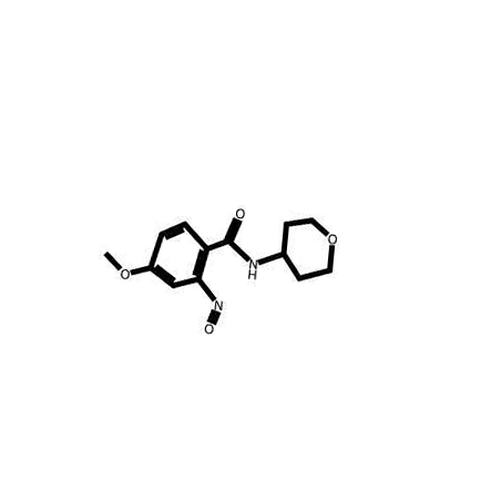 COc1ccc(C(=O)NC2CCOCC2)c(N=O)c1